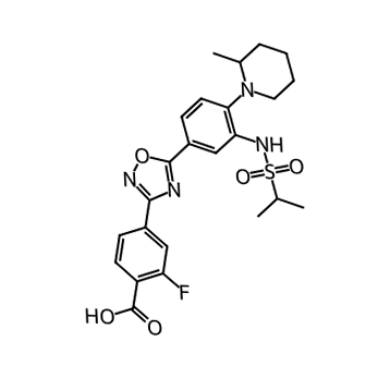 CC1CCCCN1c1ccc(-c2nc(-c3ccc(C(=O)O)c(F)c3)no2)cc1NS(=O)(=O)C(C)C